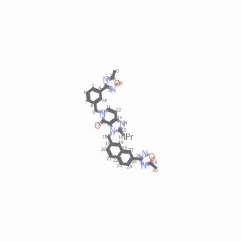 Cc1nc(-c2cccc(Cn3ccc4nc(C(C)C)n(Cc5ccc6ccc(-c7noc(C)n7)cc6c5)c4c3=O)c2)no1